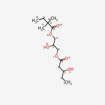 CCC(O)CC(=O)OCC(O)COC(=O)C(C)(C)CC